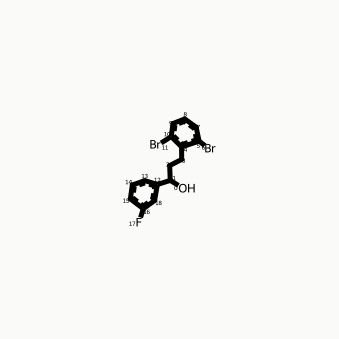 OC(CCc1c(Br)cccc1Br)c1cccc(F)c1